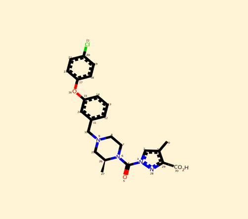 Cc1cn(C(=O)N2CCN(Cc3cccc(Oc4ccc(Cl)cc4)c3)C[C@@H]2C)nc1C(=O)O